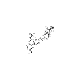 COc1ccc(CCCC(C)(C)C)c(N2CCC(COc3cccc(CC(C)P(=O)(O)O)c3)CC2)c1